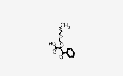 COCCOCOC(C(=O)O)C(=O)c1ccccc1